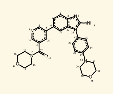 Nc1nc2ccc(-c3cncc(C(=O)N4CCOCC4)c3)cc2n1-c1ccc(N2CCOCC2)cc1